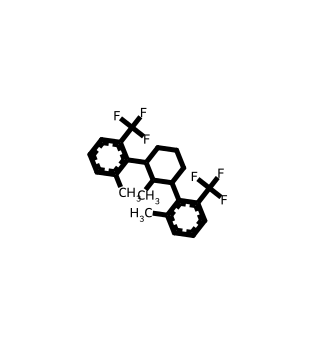 Cc1cccc(C(F)(F)F)c1C1CCCC(c2c(C)cccc2C(F)(F)F)C1C